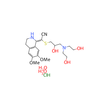 COc1cc2c(cc1OC)C(=C(C#N)SCC(O)CN(CCO)CCO)NCC2.Cl.O.O